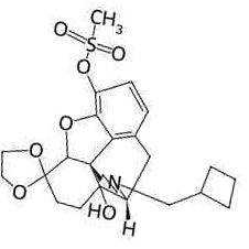 CS(=O)(=O)Oc1ccc2c3c1OC1C4(CCC5(O)[C@@H](C2)N(CC2CCC2)CCC[C@]315)OCCO4